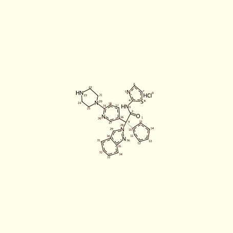 Cl.O=C(Nc1nccs1)[C@](c1ccccc1)(c1ccc(N2CCNCC2)nc1)n1cc2ccccc2n1